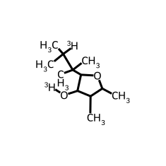 [3H]OC1C(C)C(C)OC1C(C)(C)C([3H])(C)C